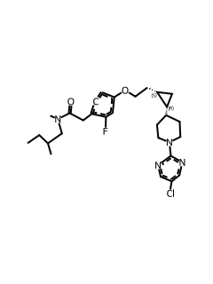 CCC(C)CN(C)C(=O)Cc1ccc(OCC[C@@H]2C[C@@H]2C2CCN(c3ncc(Cl)cn3)CC2)cc1F